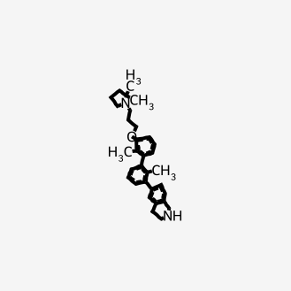 Cc1c(OCCCN2CCCC2(C)C)cccc1-c1cccc(-c2ccc3c(c2)CCNC3)c1C